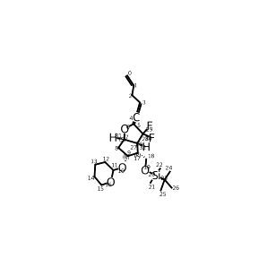 C=CCC=C=C1O[C@H]2C[C@@H](OC3CCCCO3)[C@@H](CO[Si](C)(C)C(C)(C)C)[C@H]2C1(F)F